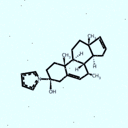 C[C@H]1C=C2C[C@](O)(n3cccc3)CC[C@]2(C)[C@H]2CC[C@]3(C)C=CC[C@H]3[C@H]12